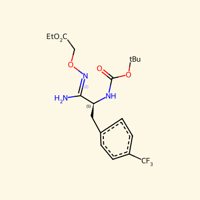 CCOC(=O)CO/N=C(\N)[C@H](Cc1ccc(C(F)(F)F)cc1)NC(=O)OC(C)(C)C